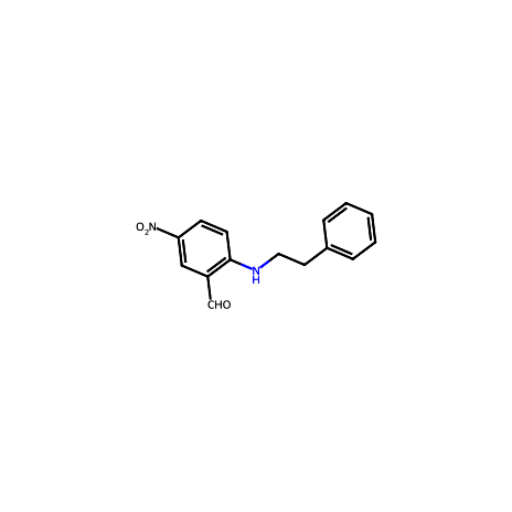 O=Cc1cc([N+](=O)[O-])ccc1NCCc1ccccc1